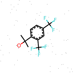 CC(C)([O])c1ccc(C(F)(F)F)cc1C(F)(F)F